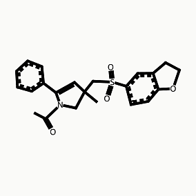 CC(=O)N1CC(C)(CS(=O)(=O)c2ccc3c(c2)CCO3)C=C1c1ccccc1